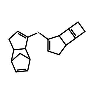 C1=CC2CC1C1CC=C(SC3=CCC4C5=C(CC5)C34)C21